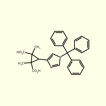 CC1(C(=O)O)C(c2cn(C(c3ccccc3)(c3ccccc3)c3ccccc3)cn2)C1(C)C(=O)O